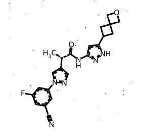 C[C@@H](C(=O)Nc1cc(C2CC3(COC3)C2)[nH]n1)c1cnn(-c2cc(F)cc(C#N)c2)c1